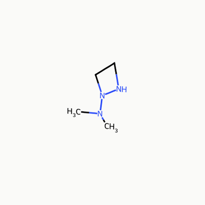 CN(C)N1CCN1